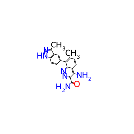 Cc1ccc2c(N)c(C(N)=O)nnc2c1-c1ccc2[nH]nc(C)c2c1